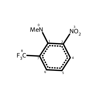 CNc1c([N+](=O)[O-])cccc1C(F)(F)F